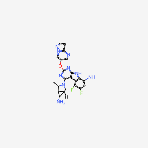 CNc1cc(F)c(F)c2c1[nH]c1nc(Oc3cnc4ccnn4c3)nc(N3C[C@H]4C([C@H]4N)[C@H]3C)c12